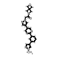 Cn1cc(-c2cccc(-c3ncc(-c4cnn(CC(=O)N5CC6(COC6)C5)c4)cn3)c2)cn1